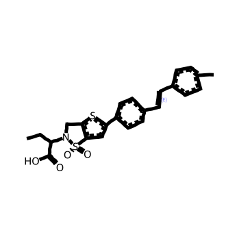 CCC(C(=O)O)N1Cc2sc(-c3ccc(/C=C/c4ccc(C)cc4)cc3)cc2S1(=O)=O